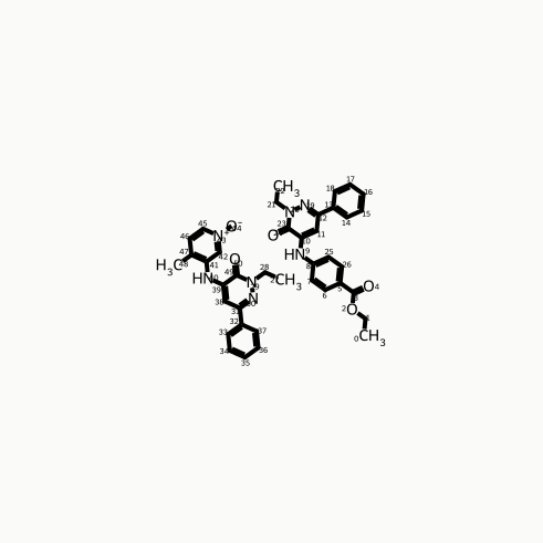 CCOC(=O)c1ccc(Nc2cc(-c3ccccc3)nn(CC)c2=O)cc1.CCn1nc(-c2ccccc2)cc(Nc2c[n+]([O-])ccc2C)c1=O